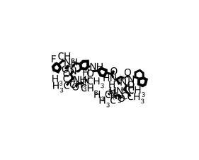 CN[C@@H](C)C(=O)N[C@H](C(=O)N1Cc2cc(NC(=O)c3ccc(C(=O)N[C@H]4C[C@@H](C(=O)NC5CCCc6ccccc65)N(C(=O)[C@@H](NC(=O)[C@H](C)NC)C(C)(C)C)C4)cc3)ccc2C[C@H]1C(=O)NC(C)c1ccccc1F)C(C)(C)C